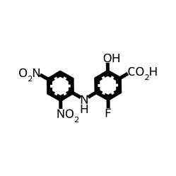 O=C(O)c1cc(F)c(Nc2ccc([N+](=O)[O-])cc2[N+](=O)[O-])cc1O